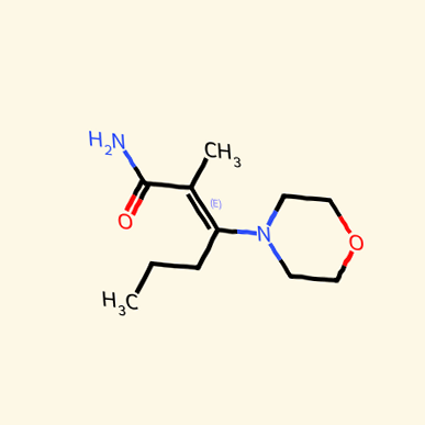 CCC/C(=C(/C)C(N)=O)N1CCOCC1